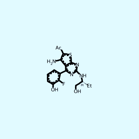 CC[C@H](CO)Nc1nc(-c2cccc(O)c2F)c2c(N)c(C(C)=O)sc2n1